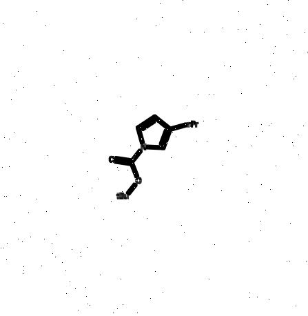 CCCc1ccn(C(=O)OC(C)(C)C)c1